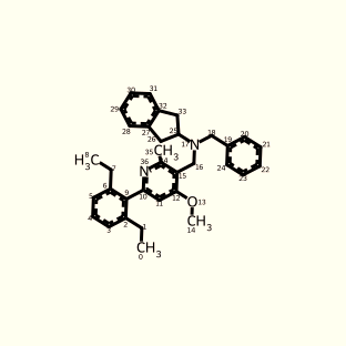 CCc1cccc(CC)c1-c1cc(OC)c(CN(Cc2ccccc2)C2Cc3ccccc3C2)c(C)n1